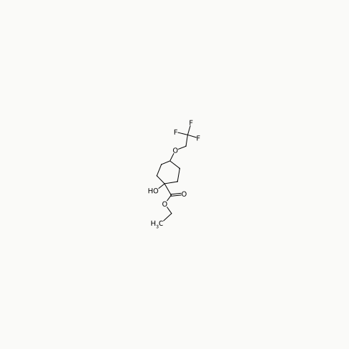 CCOC(=O)C1(O)CCC(OCC(F)(F)F)CC1